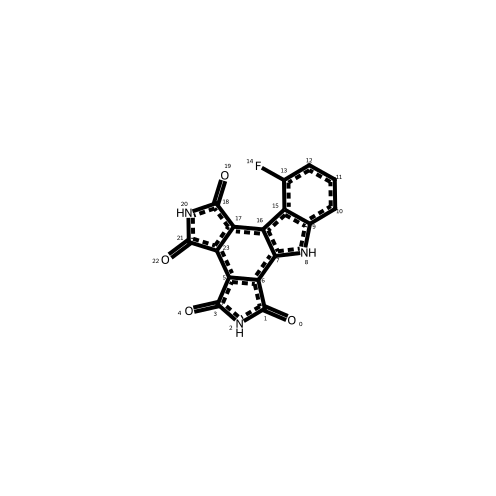 O=c1[nH]c(=O)c2c1c1[nH]c3cccc(F)c3c1c1c(=O)[nH]c(=O)c21